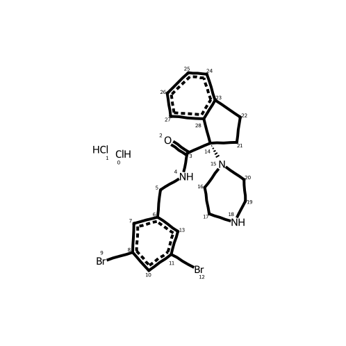 Cl.Cl.O=C(NCc1cc(Br)cc(Br)c1)[C@]1(N2CCNCC2)CCc2ccccc21